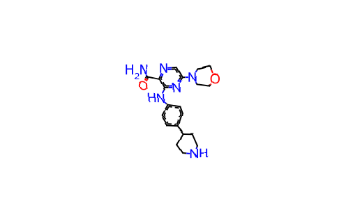 NC(=O)c1ncc(N2CCOCC2)nc1Nc1ccc(C2CCNCC2)cc1